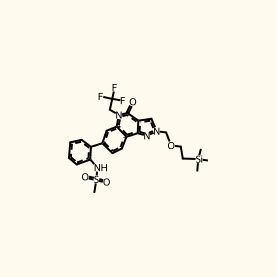 C[Si](C)(C)CCOCn1cc2c(=O)n(CC(F)(F)F)c3cc(-c4ccccc4NS(C)(=O)=O)ccc3c2n1